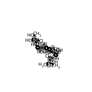 CC(O)CN(CC(C)O)c1nc(Cl)nc(Nc2ccc(S(=O)(=O)O)c(/N=N/c3c(S(C)(=O)=O)cc4cc(S(=O)(=O)O)c(/N=N/c5cc(Nc6nc(Cl)nc(N(CC(C)O)CC(C)O)n6)ccc5S(=O)(=O)O)c(O)c4c3N)c2)n1